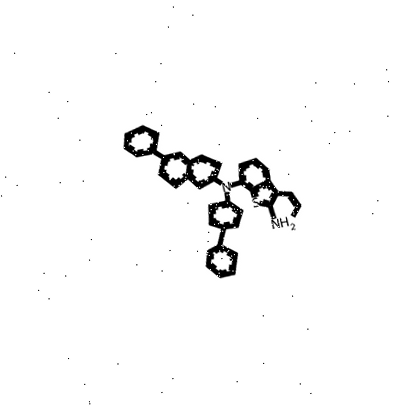 C/C=C\c1c(N)sc2c(N(c3ccc(-c4ccccc4)cc3)c3ccc4cc(-c5ccccc5)ccc4c3)cccc12